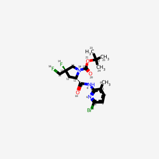 Cc1ccc(Br)nc1NC(=O)[C@@H]1C[C@](F)(CF)CN1C(=O)OC(C)(C)C